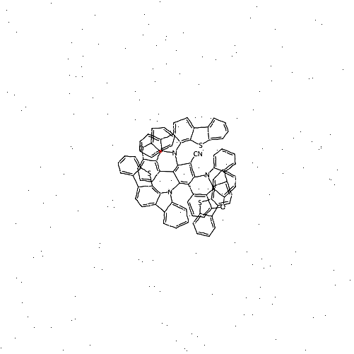 N#Cc1c(-n2c3ccccc3c3ccc4c5ccccc5sc4c32)c(-c2cccc3oc4ccccc4c23)c(-n2c3ccccc3c3ccc4c5ccccc5sc4c32)c(-c2cccc3oc4ccccc4c23)c1-n1c2ccccc2c2ccc3c4ccccc4sc3c21